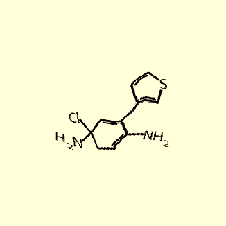 NC1=CCC(N)(Cl)C=C1c1ccsc1